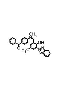 Cc1cc(CN(C)c2ccc(C(=O)c3ccccc3)cc2)c(O)c(-n2nc3ccccc3n2)c1